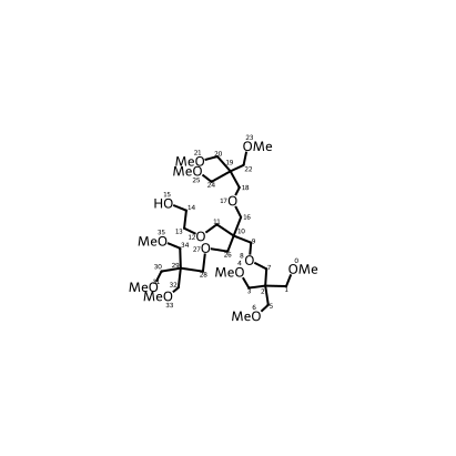 COCC(COC)(COC)COCC(COCCO)(COCC(COC)(COC)COC)COCC(COC)(COC)COC